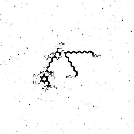 CCCCCCCC/C=C\CCCCCCCCC(CCCCCCC/C=C\CCCCCCCC)OC(=O)[C@H](COC(C)(C)C)NC(=O)[C@@H](N)CCCNC(=N)Nc1c(C)c(C)c2c(c1C)CC(C)(C)O2